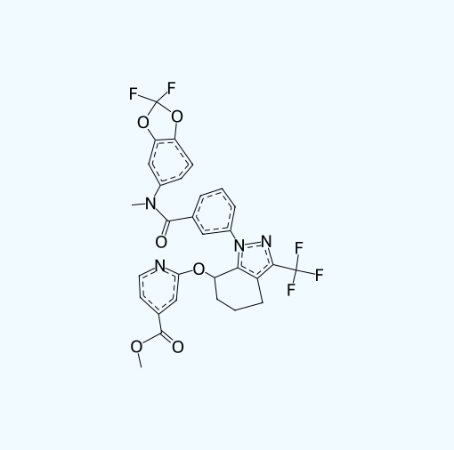 COC(=O)c1ccnc(OC2CCCc3c(C(F)(F)F)nn(-c4cccc(C(=O)N(C)c5ccc6c(c5)OC(F)(F)O6)c4)c32)c1